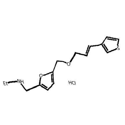 CCNCc1ccc(COC/C=C/c2ccsc2)o1.Cl